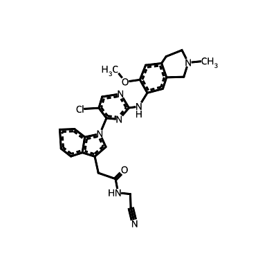 COc1cc2c(cc1Nc1ncc(Cl)c(-n3cc(CC(=O)NCC#N)c4ccccc43)n1)CN(C)CC2